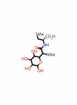 CNC(C(=O)N[C@@H](CSC)C(=O)O)C1OC(O)C(O)C(O)C1O